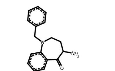 NC1CCN(Cc2ccccc2)c2ccccc2C1=O